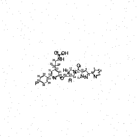 Cn1nc(-c2cscn2)cc1C(=O)N1C[C@@H]2[C@H](C1)[C@@H]2Oc1cc(C(C)(C)CNC(=O)O)cc(-c2ccc(F)cc2)n1